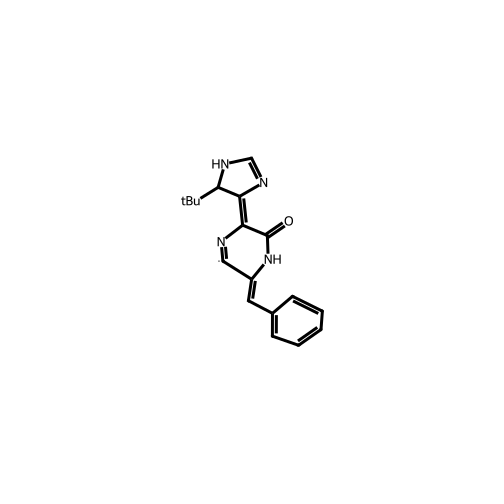 CC(C)(C)C1NC=N/C1=c1/n[c]/c(=C/c2ccccc2)[nH]c1=O